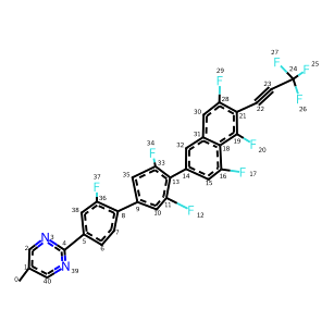 Cc1cnc(-c2ccc(-c3cc(F)c(-c4cc(F)c5c(F)c(C#CC(F)(F)F)c(F)cc5c4)c(F)c3)c(F)c2)nc1